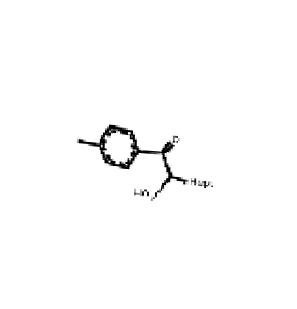 CCCCCCCC(C(=O)O)C(=O)c1ccc(C)cc1